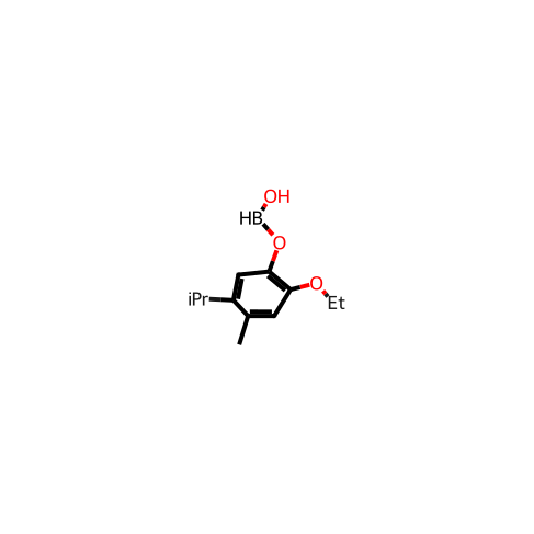 CCOc1cc(C)c(C(C)C)cc1OBO